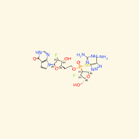 NC1=Nc2c(nnn2[C@@H]2O[C@H](CO)[C@H](F)[C@H]2P(=O)(S)OCC[C@H]2O[C@@H](n3ccc4c(=O)[nH]cnc43)[C@@H](F)[C@@H]2O)C(N)N1